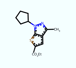 CCOC(=O)c1cc2c(C)nn(C3CCCC3)c2s1